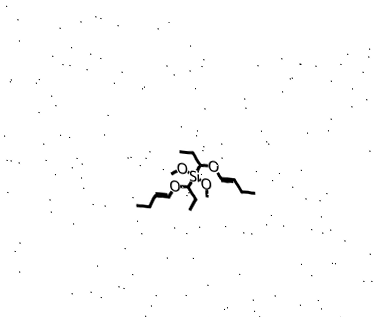 CCC=COC(CC)[Si](OC)(OC)C(CC)OC=CCC